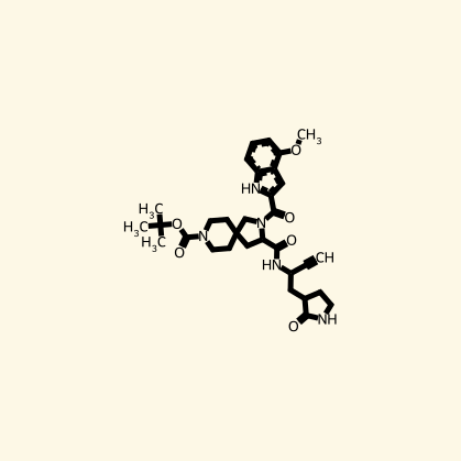 C#CC(CC1CCNC1=O)NC(=O)C1CC2(CCN(C(=O)OC(C)(C)C)CC2)CN1C(=O)c1cc2c(OC)cccc2[nH]1